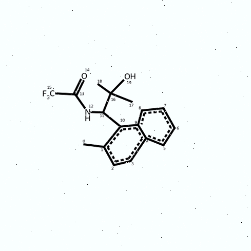 Cc1ccc2ccccc2c1C(NC(=O)C(F)(F)F)C(C)(C)O